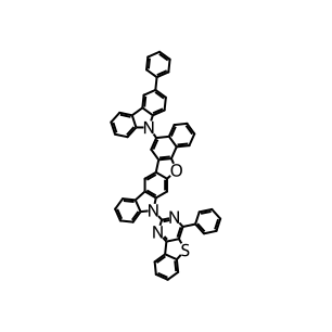 c1ccc(-c2ccc3c(c2)c2ccccc2n3-c2cc3c4cc5c6ccccc6n(-c6nc(-c7ccccc7)c7sc8ccccc8c7n6)c5cc4oc3c3ccccc23)cc1